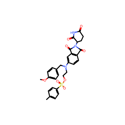 COc1ccc(CN(CCOS(=O)(=O)c2ccc(C)cc2)c2ccc3c(c2)C(=O)N(C2CCC(=O)NC2=O)C3=O)cc1